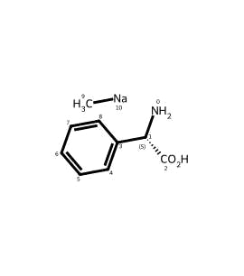 N[C@H](C(=O)O)c1ccccc1.[CH3][Na]